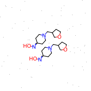 ON=C1CCN(CC2CCOC2)CC1.ON=C1CCN(CC2CCOC2)CC1